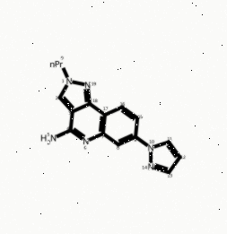 CCCn1cc2c(N)nc3cc(-n4cccn4)ccc3c2n1